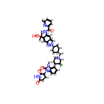 Cc1cccc(C(=O)Nc2cc3cn([C@H]4CC[C@H](CN5CC[C@H](c6cccc7c6n(C)c(=O)n7C6CCC(=O)NC6=O)[C@@H](F)C5)CC4)nc3cc2C(C)(C)O)n1